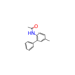 CC(=O)Nc1[c]cc(C)cc1-c1ccccc1